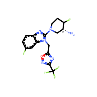 N[C@@H]1CN(c2nc3ccc(F)cc3n2Cc2nc(C(F)(F)F)no2)CCC1F